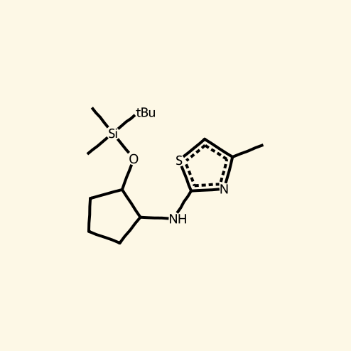 Cc1csc(NC2CCCC2O[Si](C)(C)C(C)(C)C)n1